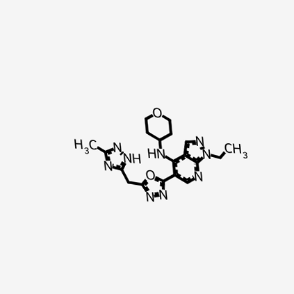 CCn1ncc2c(NC3CCOCC3)c(-c3nnc(Cc4nc(C)n[nH]4)o3)cnc21